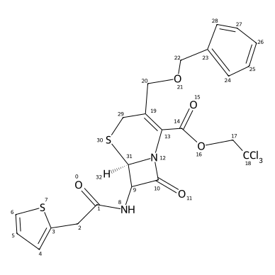 O=C(Cc1cccs1)NC1C(=O)N2C(C(=O)OCC(Cl)(Cl)Cl)=C(COCc3ccccc3)CS[C@H]12